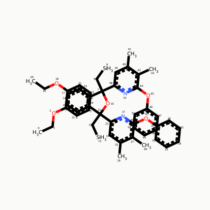 CCOc1ccc(C(C[SiH3])(OC(C[SiH3])(c2ccc(OCC)cc2)c2cc(C)c(C)c(Oc3ccccc3)n2)c2cc(C)c(C)c(Oc3ccccc3)n2)cc1